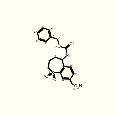 O=C(NC1CCCS(=O)(=O)c2cc(C(=O)O)ccc21)OCc1ccccc1